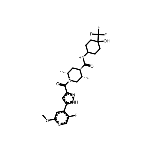 COc1cc(-c2cc(C(=O)N3C[C@@H](C)[C@H](C(=O)NC4CCC(O)(C(F)(F)F)CC4)C[C@H]3C)n[nH]2)c(F)cn1